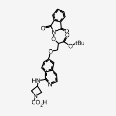 CC(C)(C)OC(=O)C(COc1ccc2c(NC3CN(C(=O)O)C3)nccc2c1)ON1C(=O)c2ccccc2C1=O